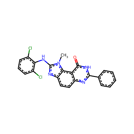 Cn1c(Nc2c(Cl)cccc2Cl)nc2ccc3nc(-c4ccccc4)[nH]c(=O)c3c21